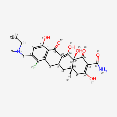 CN(Cc1cc(O)c2c(c1F)CC1C[C@H]3CC(O)=C(C(N)=O)C(=O)[C@@]3(O)C(O)=C1C2=O)CC(C)(C)C